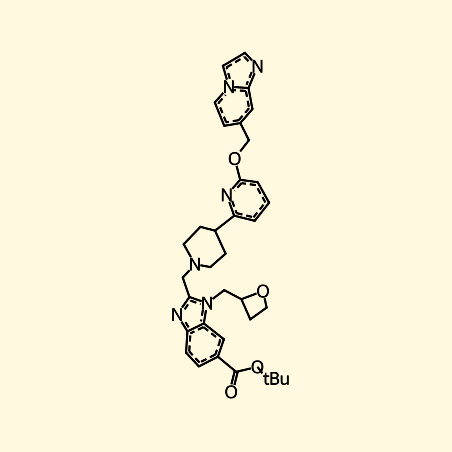 CC(C)(C)OC(=O)c1ccc2nc(CN3CCC(c4cccc(OCc5ccn6ccnc6c5)n4)CC3)n(CC3CCO3)c2c1